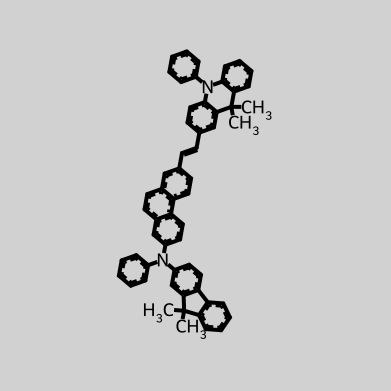 CC1(C)c2ccccc2-c2ccc(N(c3ccccc3)c3ccc4c(ccc5cc(/C=C/c6ccc7c(c6)C(C)(C)c6ccccc6N7c6ccccc6)ccc54)c3)cc21